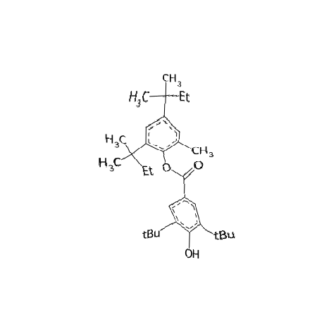 CCC(C)(C)c1cc(C)c(OC(=O)c2cc(C(C)(C)C)c(O)c(C(C)(C)C)c2)c(C(C)(C)CC)c1